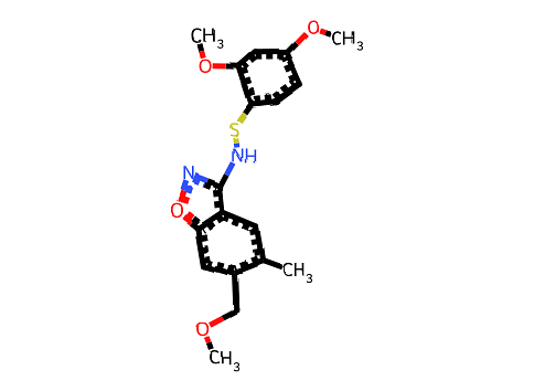 COCc1cc2onc(NSc3ccc(OC)cc3OC)c2cc1C